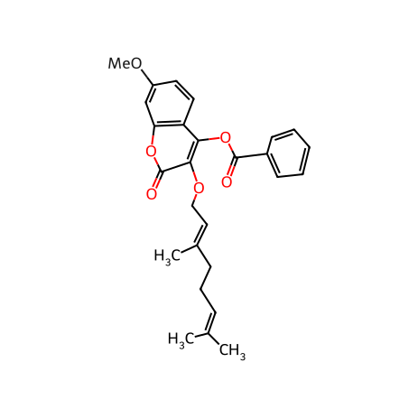 COc1ccc2c(OC(=O)c3ccccc3)c(OC/C=C(\C)CCC=C(C)C)c(=O)oc2c1